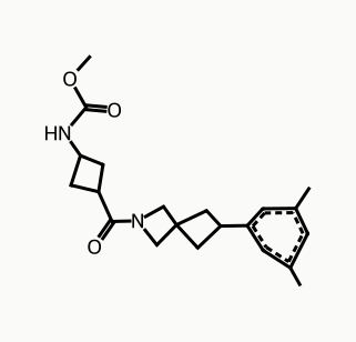 COC(=O)NC1CC(C(=O)N2CC3(CC(c4cc(C)cc(C)c4)C3)C2)C1